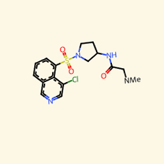 CNCC(=O)NC1CCN(S(=O)(=O)c2cccc3cncc(Cl)c23)C1